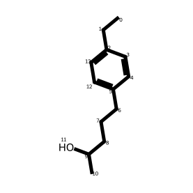 CCc1ccc(CCCC(C)O)cc1